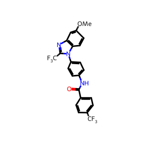 COc1ccc2c(c1)nc(C(F)(F)F)n2-c1ccc(NC(=O)c2ccc(C(F)(F)F)cc2)cc1